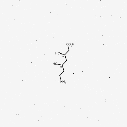 NCC[C@@H](O)C[C@@H](O)CC(=O)O